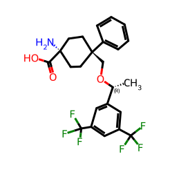 C[C@@H](OC[C@]1(c2ccccc2)CC[C@](N)(C(=O)O)CC1)c1cc(C(F)(F)F)cc(C(F)(F)F)c1